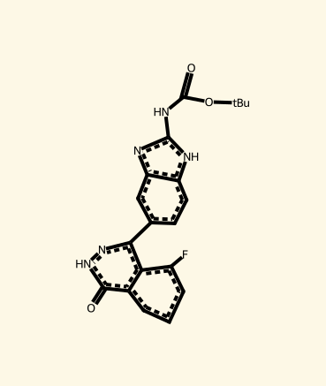 CC(C)(C)OC(=O)Nc1nc2cc(-c3n[nH]c(=O)c4cccc(F)c34)ccc2[nH]1